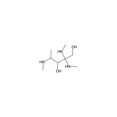 CNC(C)C(O)C(CO)(NC)NC